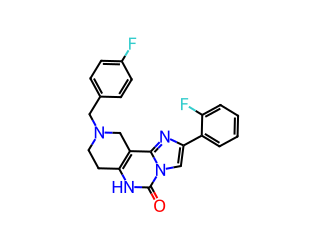 O=c1[nH]c2c(c3nc(-c4ccccc4F)cn13)CN(Cc1ccc(F)cc1)CC2